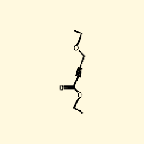 CCOCC#CC(=O)OCC